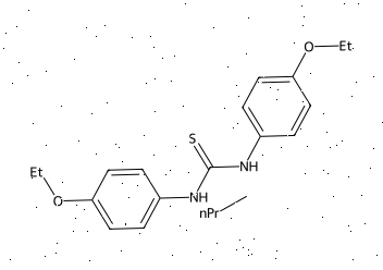 CCCC.CCOc1ccc(NC(=S)Nc2ccc(OCC)cc2)cc1